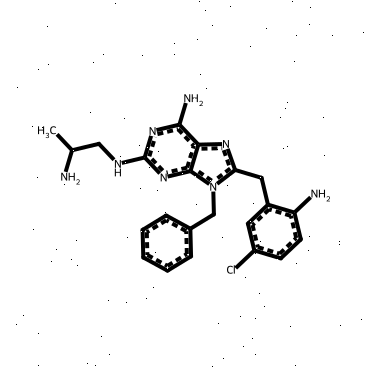 CC(N)CNc1nc(N)c2nc(Cc3cc(Cl)ccc3N)n(Cc3ccccc3)c2n1